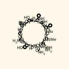 CCCC[C@H]1C(=O)N(C)[C@@H](CCSC)C(=O)N[C@@H](CCCNC(=N)N)C(=O)NC(C(=O)NCC(N)=O)CSCC(=O)N[C@@H](Cc2ccc(O)cc2)C(=O)N(C)[C@@H](C)C(=O)N[C@@H](CC(N)=O)C(=O)N2CCC[C@H]2C(=O)N[C@@H](Cc2cnc[nH]2)C(=O)N[C@@H](CC(C)C)C(=O)N2C[C@H](O)C[C@H]2C(=O)N[C@@H](Cc2c[nH]c3ccccc23)C(=O)N[C@@H](CO)C(=O)N[C@@H](Cc2csc3ccccc23)C(=O)N1C